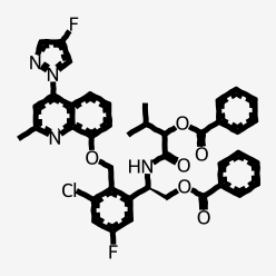 Cc1cc(-n2cc(F)cn2)c2cccc(OCc3c(Cl)cc(F)cc3[C@H](COC(=O)c3ccccc3)NC(=O)C(OC(=O)c3ccccc3)C(C)C)c2n1